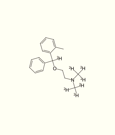 [2H]C(OCCN(C([2H])([2H])[2H])C([2H])([2H])[2H])(c1ccccc1)c1ccccc1C